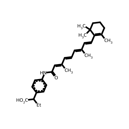 CCC(C(=O)O)c1ccc(NC(=O)/C=C(C)/C=C/C=C(C)/C=C/C2=C(C)CCCC2(C)C)cc1